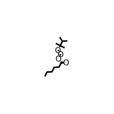 CCCCCC(=O)OOOC(C)(C)C(C)C